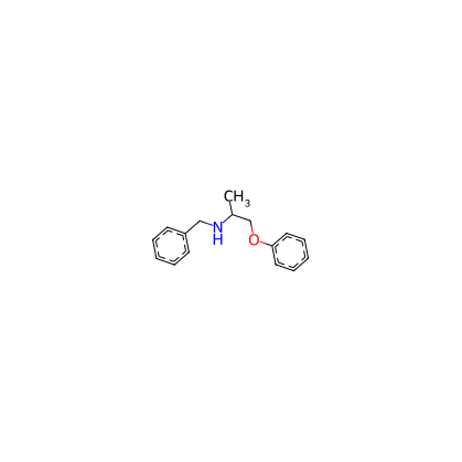 CC(COc1ccccc1)NCc1ccccc1